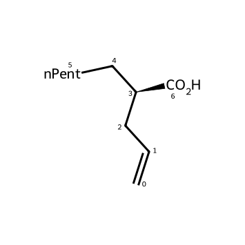 C=CC[C@@H](CCCCCC)C(=O)O